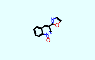 [O-][n+]1cc(-c2ncco2)cc2ccccc21